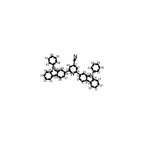 N#Cc1cc(-c2ccc3c4ccccc4n(-c4ccccc4)c3c2)nc(-c2ccc3c4ccccc4n(-c4ccccc4)c3c2)c1